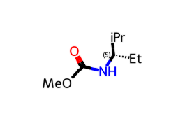 CC[C@H](NC(=O)OC)C(C)C